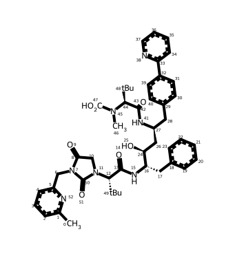 Cc1cccc(CN2C(=O)CN([C@H](C(=O)N[C@@H](Cc3ccccc3)[C@@H](O)C[C@H](Cc3ccc(-c4ccccn4)cc3)NC(=O)[C@@H](N(C)C(=O)O)C(C)(C)C)C(C)(C)C)C2=O)n1